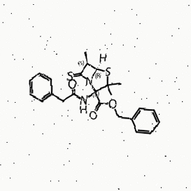 C[C@@H]1C(=S)N2[C@@H]1SC(C)(C)[C@]2(NC(=O)Cc1ccccc1)C(=O)OCc1ccccc1